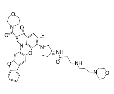 O=C(CCNCCCN1CCOCC1)N[C@@H]1CCN(c2c(F)cc3c(=O)c(C(=O)N4CCOCC4)cn4c3c2Oc2cc3c(cc2-4)oc2ccccc23)C1